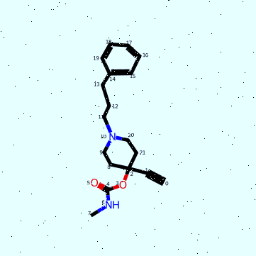 C#CC1(OC(=O)NC)CCN(CCCc2ccccc2)CC1